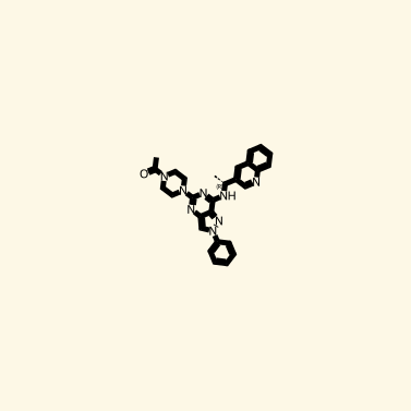 CC(=O)N1CCN(c2nc(N[C@H](C)c3cnc4ccccc4c3)c3nn(-c4ccccc4)cc3n2)CC1